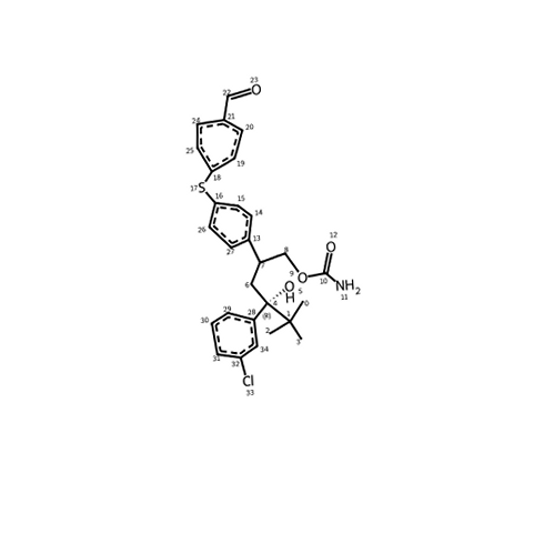 CC(C)(C)[C@](O)(CC(COC(N)=O)c1ccc(Sc2ccc(C=O)cc2)cc1)c1cccc(Cl)c1